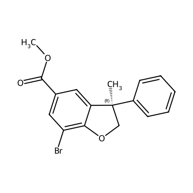 COC(=O)c1cc(Br)c2c(c1)[C@@](C)(c1ccccc1)CO2